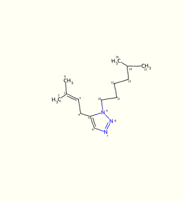 CC(C)=CCc1cnnn1CCCCC(C)C